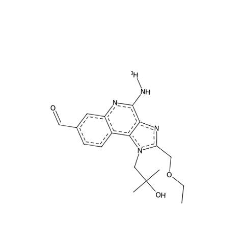 [3H]Nc1nc2cc(C=O)ccc2c2c1nc(COCC)n2CC(C)(C)O